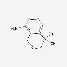 [2H]C1(O)CC=Cc2c(N)cccc21